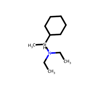 CCN(CC)[SiH](C)C1CCCCC1